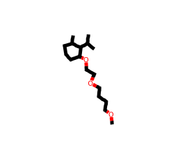 COCCCCOCCOC1CCCC(C)C1C(C)C